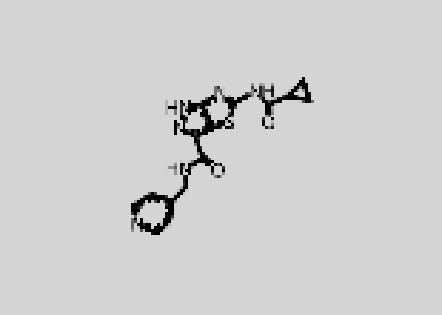 O=C(NCc1ccncc1)c1n[nH]c2nc(NC(=O)C3CC3)sc12